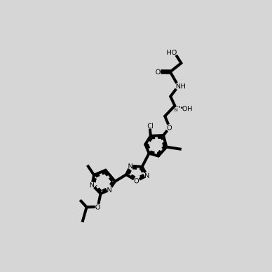 Cc1cc(-c2nc(-c3cc(C)c(OC[C@@H](O)CNC(=O)CO)c(Cl)c3)no2)nc(OC(C)C)n1